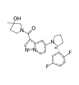 CC1(O)CCN(C(=O)c2cnn3ccc(N4CCC[C@@H]4c4cc(F)ccc4F)cc23)C1